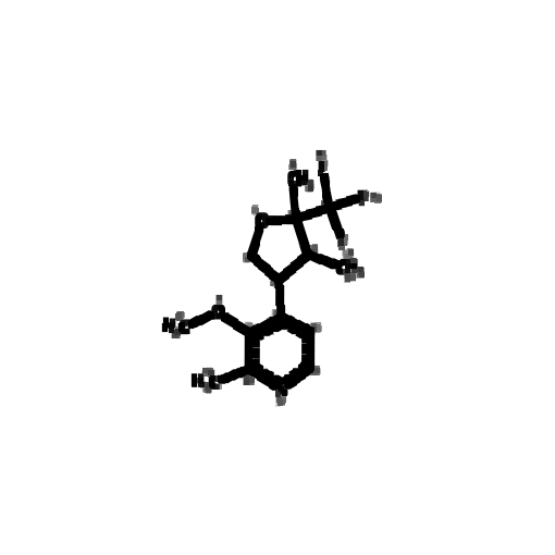 COc1c(C2COC(C)(C(F)(F)F)C2C)ccnc1C